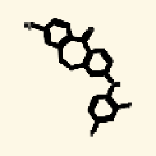 Nc1ccc2c(c1)COc1cc(Nc3ccc(F)cc3F)ccc1C2=O